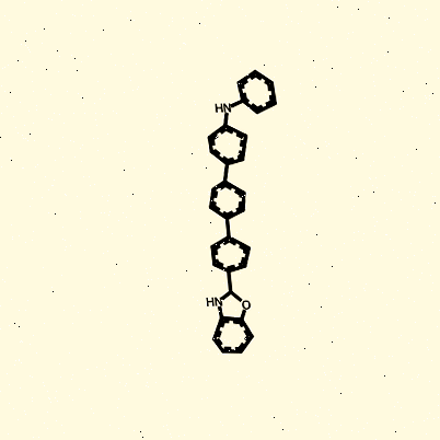 c1ccc(Nc2ccc(-c3ccc(-c4ccc(C5Nc6ccccc6O5)cc4)cc3)cc2)cc1